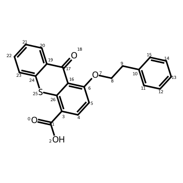 O=C(O)c1ccc(OCCc2ccccc2)c2c(=O)c3ccccc3sc12